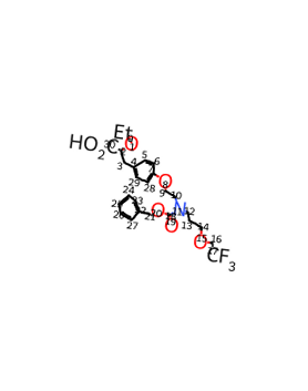 CCOC(Cc1ccc(OCCN(CCCOCC(F)(F)F)C(=O)OCc2ccccc2)cc1)C(=O)O